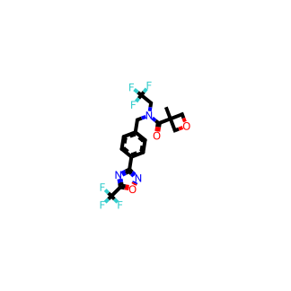 CC1(C(=O)N(Cc2ccc(-c3noc(C(F)(F)F)n3)cc2)CC(F)(F)F)COC1